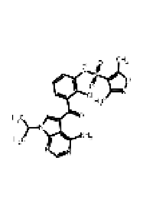 Cc1noc(C)c1S(=O)(=O)Nc1cccc(C(=O)c2cn(C(C)C)c3ncnc(N)c23)c1Cl